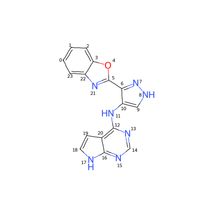 c1ccc2oc(-c3n[nH]cc3Nc3ncnc4[nH]ccc34)nc2c1